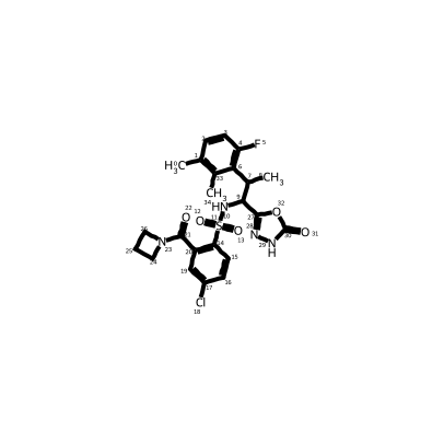 Cc1ccc(F)c(C(C)C(NS(=O)(=O)c2ccc(Cl)cc2C(=O)N2CCC2)c2n[nH]c(=O)o2)c1C